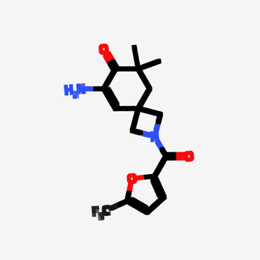 CC1(C)CC2(C=C(N)C1=O)CN(C(=O)c1ccc(C(F)(F)F)o1)C2